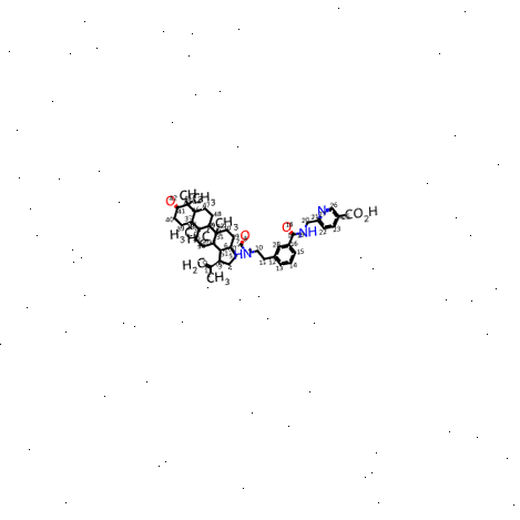 C=C(C)[C@@H]1CC[C@]2(C(=O)NCCc3cccc(C(=O)NCc4ccc(C(=O)O)cn4)c3)CC[C@]3(C)C(CCC4[C@@]5(C)CCC(=O)C(C)(C)C5CC[C@]43C)C12